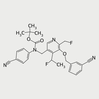 CC(F)c1c(CN(C(=O)OC(C)(C)C)c2ccc(C#N)cc2)cnc(CF)c1OCc1cccc(C#N)c1